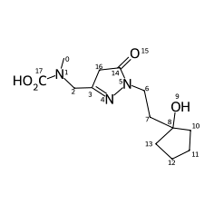 CN(CC1=NN(CCC2(O)CCCC2)C(=O)C1)C(=O)O